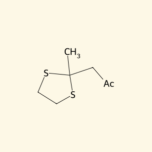 CC(=O)CC1(C)SCCS1